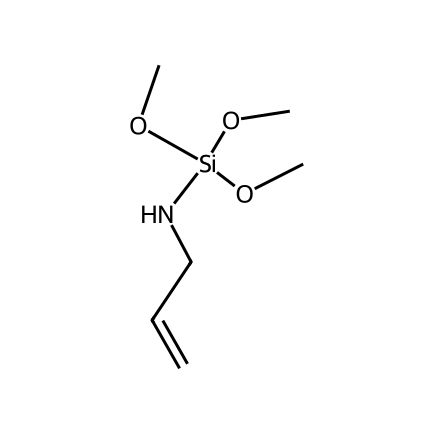 C=CCN[Si](OC)(OC)OC